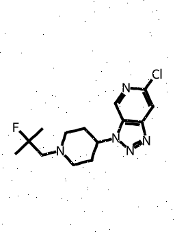 CC(C)(F)CN1CCC(n2nnc3cc(Cl)ncc32)CC1